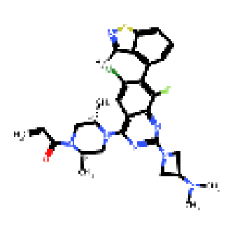 C=CC(=O)N1C[C@H](C)N(c2nc(N3CC(N(C)C)C3)nc3c(F)c(-c4cccc5snc(C)c45)c(Cl)cc23)C[C@H]1C